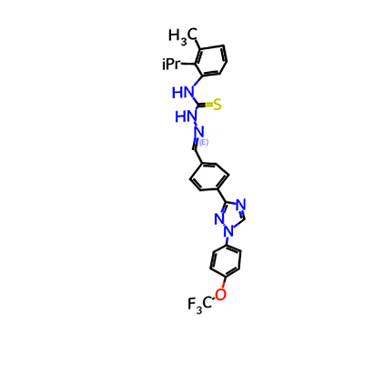 Cc1cccc(NC(=S)N/N=C/c2ccc(-c3ncn(-c4ccc(OC(F)(F)F)cc4)n3)cc2)c1C(C)C